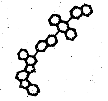 c1ccc2cc(-c3c4ccccc4c(-c4ccc5cc(-c6cc7sc8c(ccc9sc%10ccccc%10c98)c7c7ccccc67)ccc5c4)c4ccccc34)ccc2c1